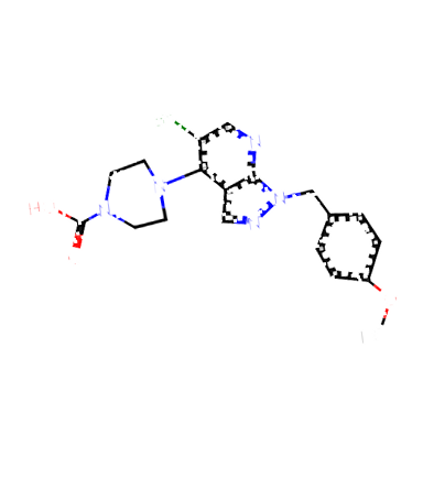 COc1ccc(Cn2ncc3c(N4CCN(C(=O)O)CC4)c(Br)cnc32)cc1